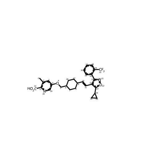 Cc1cc(OCC2CCC(/C=C/c3c(-c4ccccc4C(F)(F)F)noc3C3CC3)CC2)cnc1C(=O)O